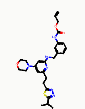 C=CCOC(=O)Nc1cccc(CNc2cc(N3CCOCC3)cc(CCc3nnc(C(C)C)s3)n2)c1